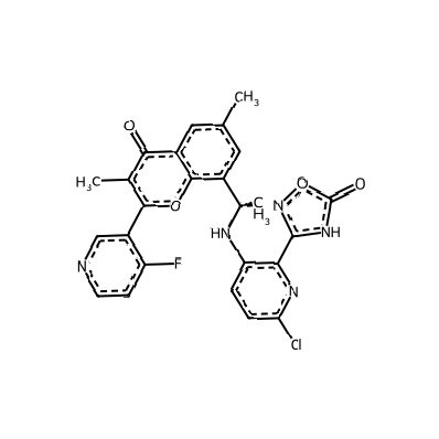 Cc1cc([C@@H](C)Nc2ccc(Cl)nc2-c2noc(=O)[nH]2)c2oc(-c3cnccc3F)c(C)c(=O)c2c1